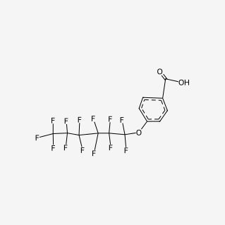 O=C(O)c1ccc(OC(F)(F)C(F)(F)C(F)(F)C(F)(F)C(F)(F)C(F)(F)F)cc1